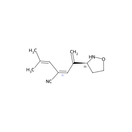 C=C(/C=C(/C#N)C=C(C)C)[C@@H]1CCON1